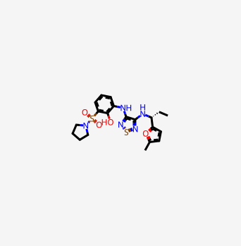 CC[C@@H](Nc1nsnc1Nc1cccc(S(=O)(=O)N2CCCC2)c1O)c1ccc(C)o1